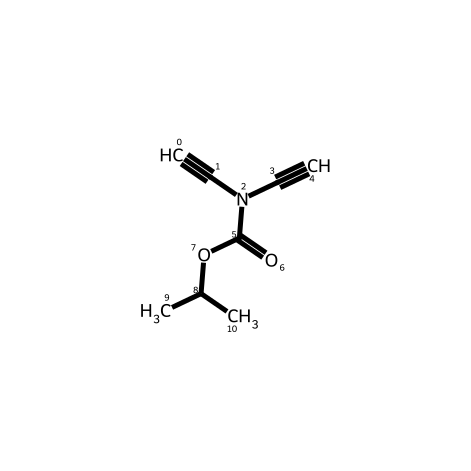 C#CN(C#C)C(=O)OC(C)C